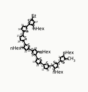 CCCCCCc1cc(-c2cc(CCCCCC)c(-c3ccc(-c4ccc(-c5sc(-c6cc(CCCCCC)c(-c7ccc(-c8ccc(-c9sc(CC)cc9CCCCCC)s8)s7)s6)cc5CCCCCC)s4)s3)s2)sc1C